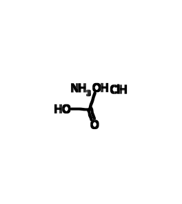 Cl.N.O=C(O)O